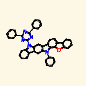 c1ccc(-c2nc(-c3ccccc3)nc(-n3c4ccccc4c4cc5c(cc43)c3ccc4c6ccccc6oc4c3n5-c3ccccc3)n2)cc1